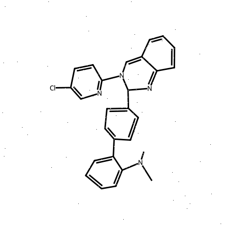 CN(C)c1ccccc1-c1ccc(C2N=c3ccccc3=CN2c2ccc(Cl)cn2)cc1